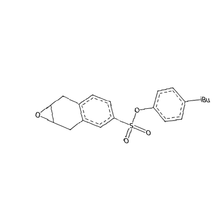 CCC(C)c1ccc(OS(=O)(=O)c2ccc3c(c2)CC2OC2C3)cc1